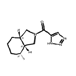 C[C@@H]1CCC[C@@H]2CN(C(=O)c3cnn[nH]3)C[C@@H]21